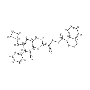 O=C(CCNC1CCCc2ccccc21)N1CCc2nc(SC3CCC3)n(-c3ccccc3)c(=O)c2C1